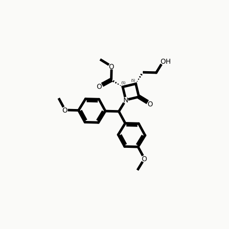 COC(=O)[C@@H]1[C@H](CCO)C(=O)N1C(c1ccc(OC)cc1)c1ccc(OC)cc1